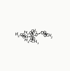 C=CC(=O)Oc1ccc(C#Cc2ccc(-c3cc(OC(=O)C(=C)C)c(C#Cc4ccc(OC(=O)C=C)cc4)c(OC(=O)C(=C)C)c3)cc2)cc1